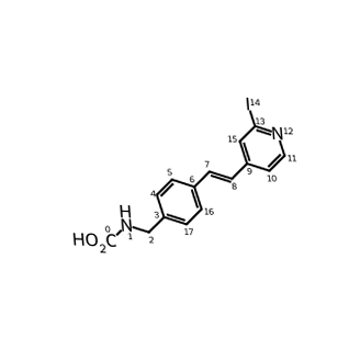 O=C(O)NCc1ccc(C=Cc2ccnc(I)c2)cc1